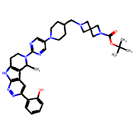 CC1c2c([nH]c3nnc(-c4ccccc4O)cc23)CCN1c1ncc(N2CCC(CN3CC4(C3)CN(C(=O)OC(C)(C)C)C4)CC2)cn1